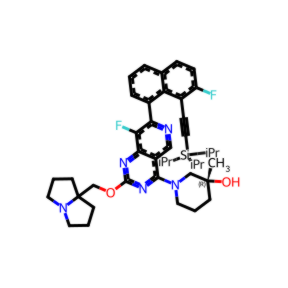 CC(C)[Si](C#Cc1c(F)ccc2cccc(-c3ncc4c(N5CCC[C@@](C)(O)C5)nc(OCC56CCCN5CCC6)nc4c3F)c12)(C(C)C)C(C)C